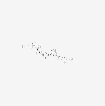 COCCNCc1cccc(-c2cc3nccc(Oc4ccc(NC(=S)NC(=O)Cc5ccccc5OC)cc4F)c3s2)c1